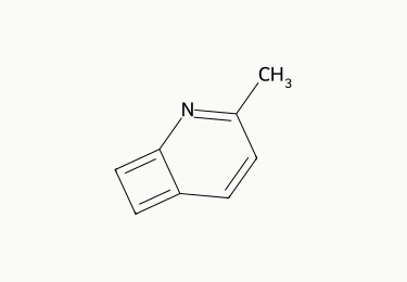 Cc1ccc2c(n1)=CC=2